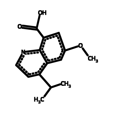 COc1cc(C(=O)O)c2nccc(C(C)C)c2c1